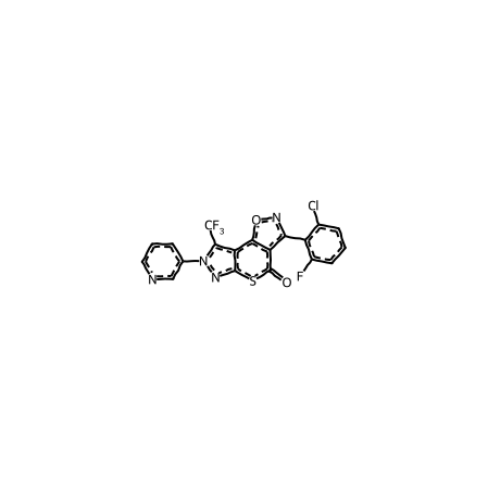 O=c1sc2nn(-c3cccnc3)c(C(F)(F)F)c2c2onc(-c3c(F)cccc3Cl)c12